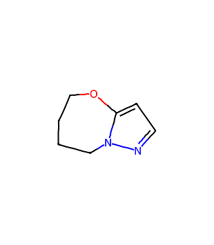 c1cc2n(n1)CCCCO2